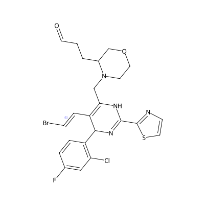 O=CCCC1COCCN1CC1=C(/C=C/Br)C(c2ccc(F)cc2Cl)N=C(c2nccs2)N1